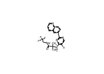 CC(C)(Nc1nc(-c2ccc3ncccc3c2)ncc1F)C(=O)NCC(F)(F)F